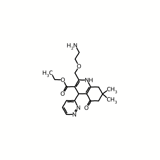 CCOC(=O)C1=C(COCCN)NC2=C(C(=O)CC(C)(C)C2)C1c1cccnn1